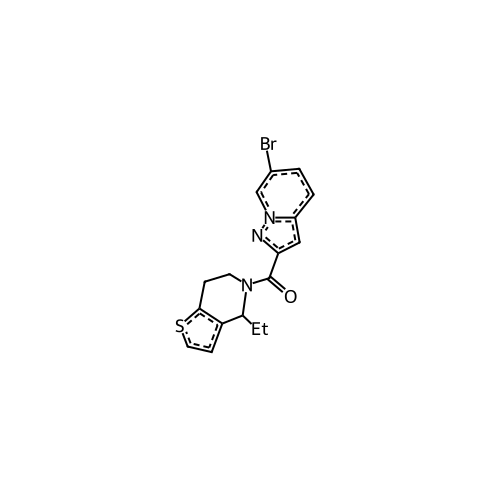 CCC1c2ccsc2CCN1C(=O)c1cc2ccc(Br)cn2n1